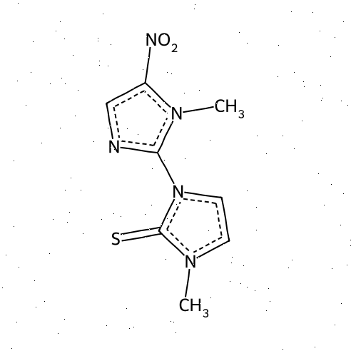 Cn1c([N+](=O)[O-])cnc1-n1ccn(C)c1=S